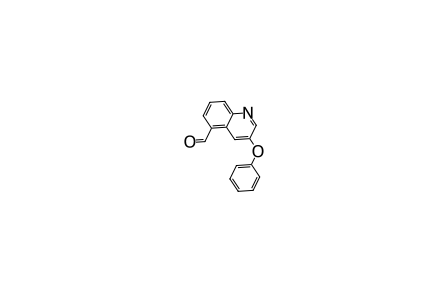 O=Cc1cccc2ncc(Oc3ccccc3)cc12